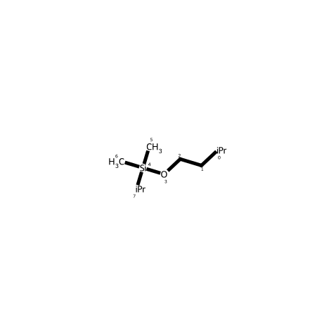 CC(C)CCO[Si](C)(C)C(C)C